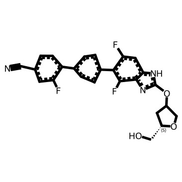 N#Cc1ccc(-c2ccc(-c3c(F)cc4[nH]c(OC5CO[C@H](CO)C5)nc4c3F)cc2)c(F)c1